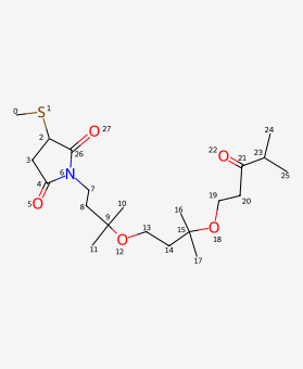 CSC1CC(=O)N(CCC(C)(C)OCCC(C)(C)OCCC(=O)C(C)C)C1=O